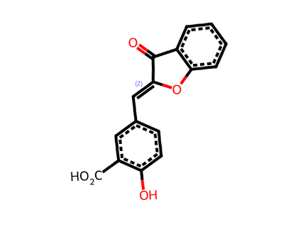 O=C(O)c1cc(/C=C2\Oc3ccccc3C2=O)ccc1O